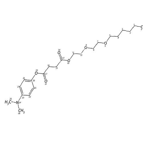 CCCCCCOCCOCCOC(=O)CCC(=O)Oc1ccc(N(C)C)cc1